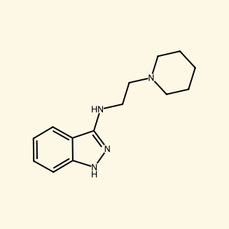 c1ccc2c(NCCN3CCCCC3)n[nH]c2c1